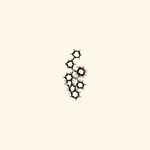 C1=CCC(c2cccc(N(c3ccccc3)c3ccc4oc5cc6ccccc6cc5c4c3N(c3ccccc3)c3ccccc3)c2)C=C1